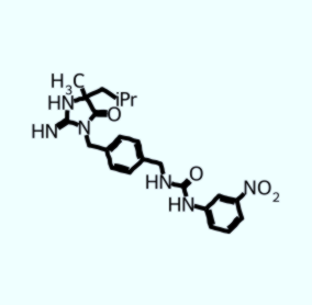 CC(C)CC1(C)NC(=N)N(Cc2ccc(CNC(=O)Nc3cccc([N+](=O)[O-])c3)cc2)C1=O